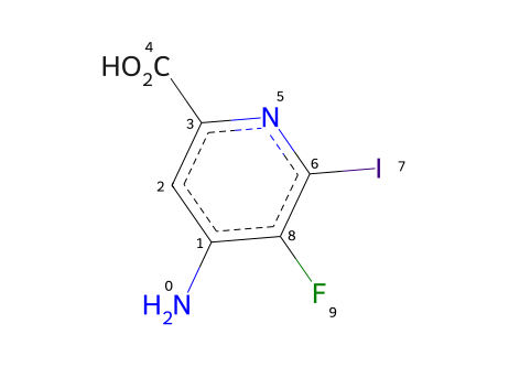 Nc1cc(C(=O)O)nc(I)c1F